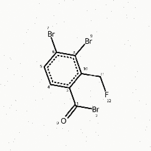 O=C(Br)c1ccc(Br)c(Br)c1CF